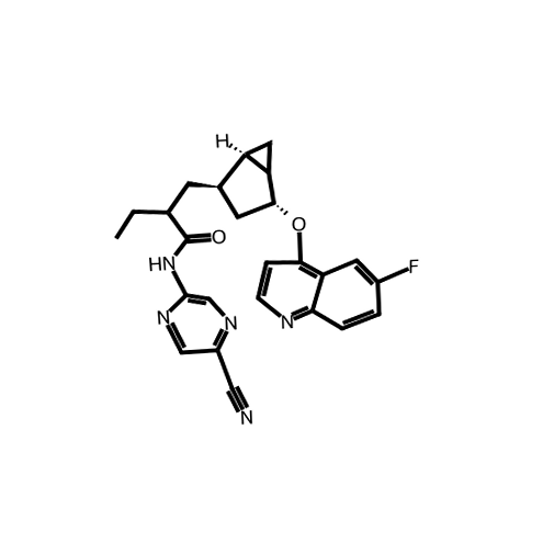 CCC(C[C@@H]1C[C@@H](Oc2ccnc3ccc(F)cc23)C2C[C@@H]21)C(=O)Nc1cnc(C#N)cn1